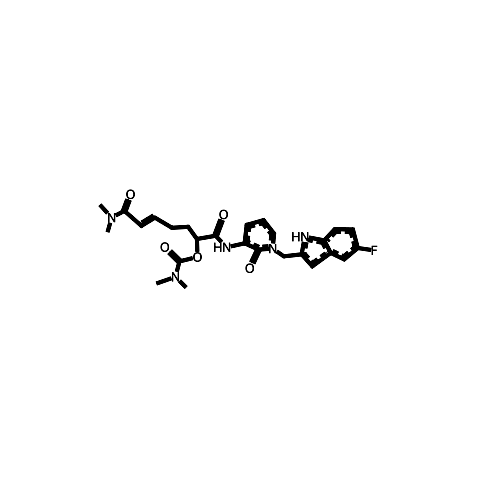 CN(C)C(=O)C=CCCC(OC(=O)N(C)C)C(=O)Nc1cccn(Cc2cc3cc(F)ccc3[nH]2)c1=O